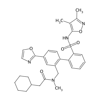 Cc1noc(NS(=O)(=O)c2ccccc2-c2ccc(-c3ncco3)cc2CN(C)C(=O)CC2CCCCC2)c1C